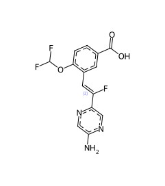 Nc1cnc(/C(F)=C/c2cc(C(=O)O)ccc2OC(F)F)cn1